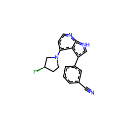 N#Cc1cccc(-c2c[nH]c3nccc(N4CC[C@@H](F)C4)c23)c1